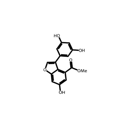 COC(=O)c1cc(O)cc2occ(-c3cc(O)cc(O)c3)c12